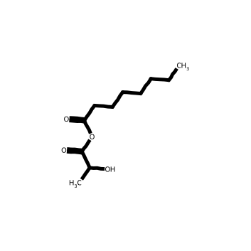 CCCCCCCC(=O)OC(=O)C(C)O